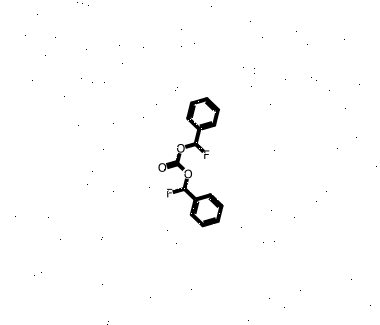 O=C(OC(F)c1ccccc1)OC(F)c1ccccc1